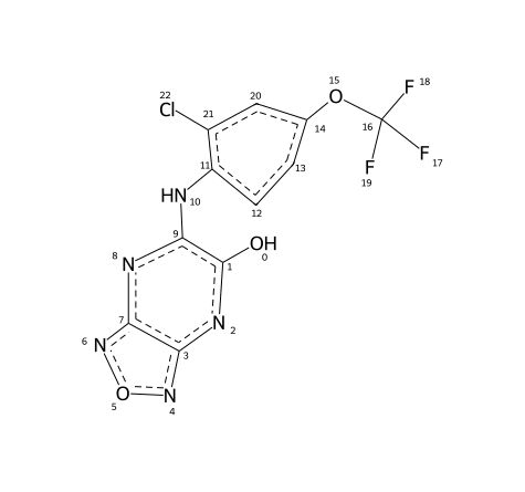 Oc1nc2nonc2nc1Nc1ccc(OC(F)(F)F)cc1Cl